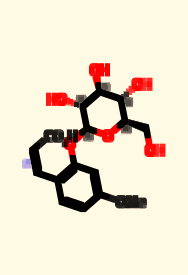 COc1ccc(/C=C\C(=O)O)c(O[C@@H]2O[C@H](CO)[C@@H](O)[C@H](O)[C@H]2O)c1